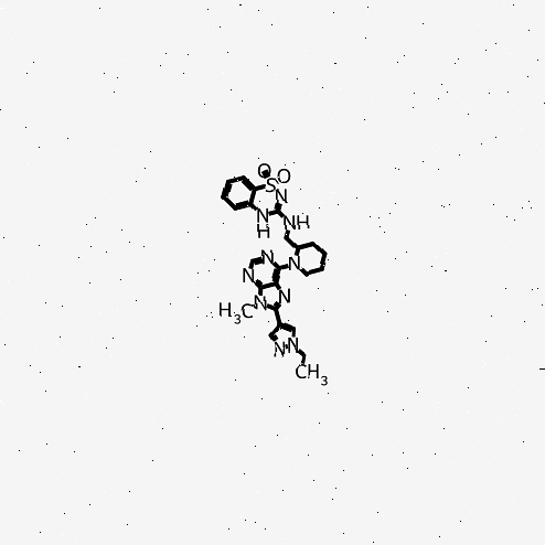 CCn1cc(-c2nc3c(N4CCCCC4CNC4=NS(=O)(=O)c5ccccc5N4)ncnc3n2C)cn1